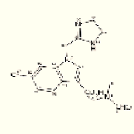 CN(C)C=O.O=C(O)c1cn(CC2=NCCN2)c2cc(Cl)ccc12